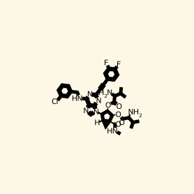 CNC(=O)[C@@]12C[C@@H]1[C@@H](n1cnc3c(NCc4cccc(Cl)c4)nc(C#Cc4ccc(F)c(F)c4)nc31)[C@H](OC(=O)C(N)C(C)C)[C@@H]2OC(=O)[C@@H](N)C(C)C